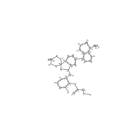 CCOC(=O)Cc1c(C)cccc1OC1CC2(CCNCC2)c2ccc(-c3cccc4c(N)nccc34)cc21